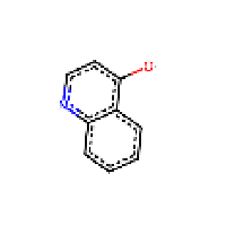 [O]c1ccnc2ccccc12